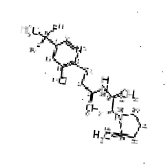 C=C(CSc1ncc(C(C)(F)F)cc1Cl)NC(=C)CN1CCCC1=C